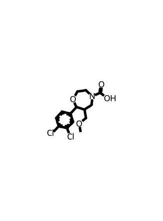 COCC1CN(C(=O)O)CCOC1c1ccc(Cl)c(Cl)c1